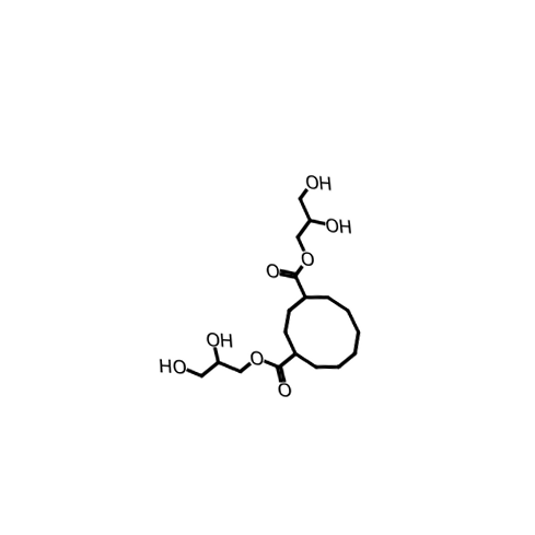 O=C(OCC(O)CO)C1CCCCCCC(C(=O)OCC(O)CO)CC1